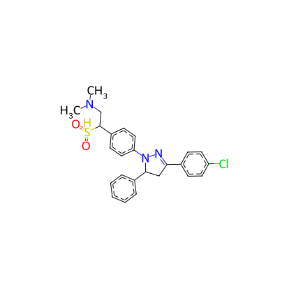 CN(C)CC(c1ccc(N2N=C(c3ccc(Cl)cc3)CC2c2ccccc2)cc1)[SH](=O)=O